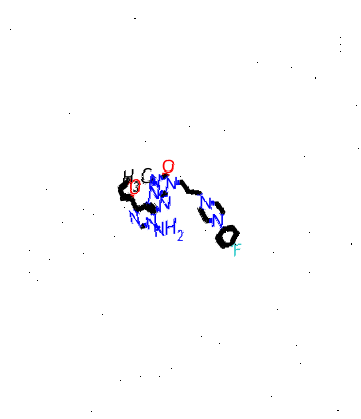 Cn1c(=O)n(CCCN2CCN(c3ccc(F)cc3)CC2)c2nc3c(n21)C(c1ccco1)=NCN3N